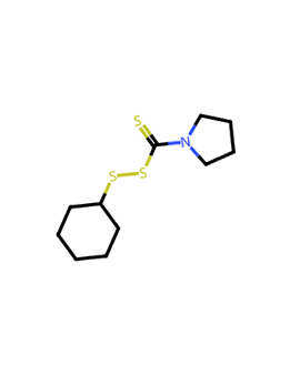 S=C(SSC1CCCCC1)N1CCCC1